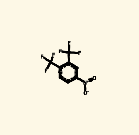 O=[N+]([O-])c1ccc(C(F)(F)F)c(C(F)(F)F)c1